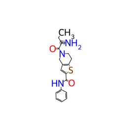 CC[C@@H](N)C(=O)N1CCc2sc(C(=O)Nc3ccccc3)cc2C1